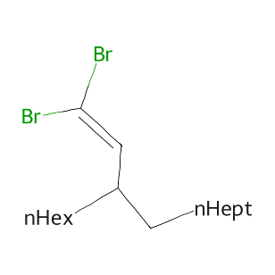 CCCCCCCCC(C=C(Br)Br)CCCCCC